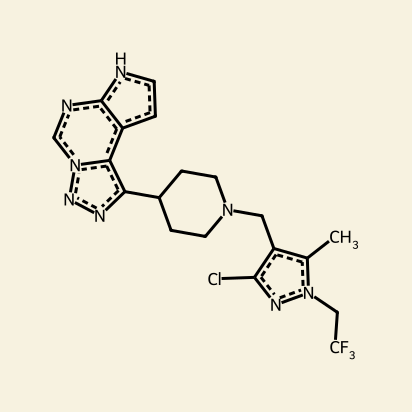 Cc1c(CN2CCC(c3nnn4cnc5[nH]ccc5c34)CC2)c(Cl)nn1CC(F)(F)F